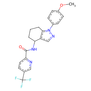 COc1ccc(-n2ncc3c2CCCC3NC(=O)c2ccc(C(F)(F)F)cn2)cc1